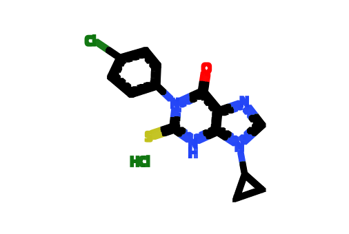 Cl.O=c1c2ncn(C3CC3)c2[nH]c(=S)n1-c1ccc(Cl)cc1